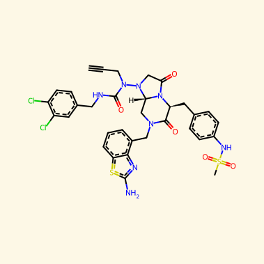 C#CCN(C(=O)NCc1ccc(Cl)c(Cl)c1)N1CC(=O)N2[C@@H](Cc3ccc(NS(C)(=O)=O)cc3)C(=O)N(Cc3cccc4sc(N)nc34)C[C@@H]21